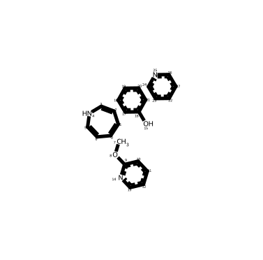 C1=CC=CNC=C1.COc1ccccn1.Oc1ccccc1.c1ccncc1